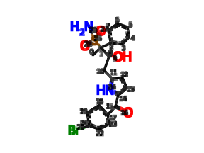 CC(c1ccccc1)(C(O)Cc1ccc(C(=O)c2ccc(Br)cc2)[nH]1)S(N)(=O)=O